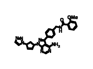 COc1ccccc1C(=O)NCc1ccc(-c2nn(C3C=CC(n4ccnn4)C3)c3ncnc(N)c23)cc1